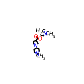 CN(C)CCOC(=O)C1CCN(C2CCN(C)CC2)C1